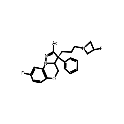 CC(=O)C1=NN2c3cc(F)ccc3OCC2[C@@]1(CCCN1CC(F)C1)c1ccccc1